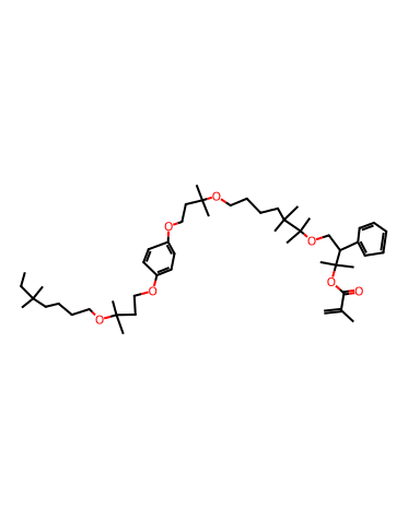 C=C(C)C(=O)OC(C)(C)C(COC(C)(C)C(C)(C)CCCCOC(C)(C)CCOc1ccc(OCCC(C)(C)OCCCCC(C)(C)CC)cc1)c1ccccc1